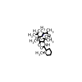 CC(=O)/C(C)=C/[C@H](C(C)C)N(C)C(=O)[C@@H](NC(=O)C1CCCCN1C)C(C)(C)C